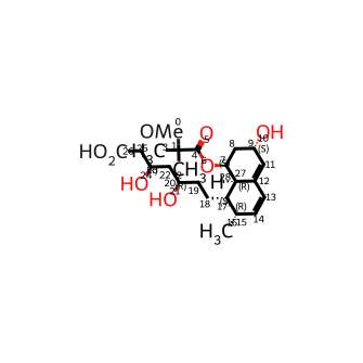 COC(C)(C)C(=O)O[C@H]1C[C@H](O)C=C2C=C[C@H](C)[C@H](CC[C@@H](O)C[C@@H](O)CC(=O)O)[C@H]21